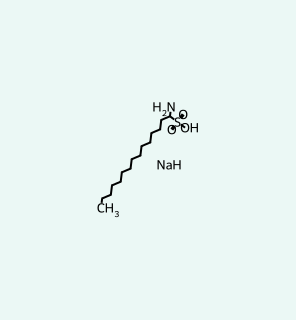 CCCCCCCCCCCCCCC(N)S(=O)(=O)O.[NaH]